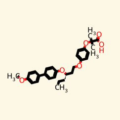 CCC[C@@H](CCOc1ccc(OC(C)(C)C(=O)O)cc1)Oc1ccc(-c2ccc(OC)cc2)cc1